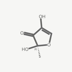 C[C@@]1(O)OC=C(O)C1=O